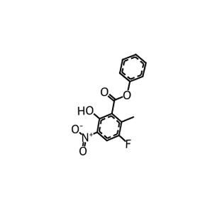 Cc1c(F)cc([N+](=O)[O-])c(O)c1C(=O)Oc1ccccc1